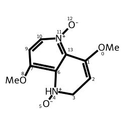 COC1=CC[NH+]([O-])c2c(OC)cc[n+]([O-])c21